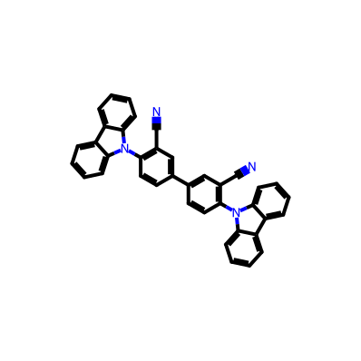 N#Cc1cc(-c2ccc(-n3c4ccccc4c4ccccc43)c(C#N)c2)ccc1-n1c2ccccc2c2ccccc21